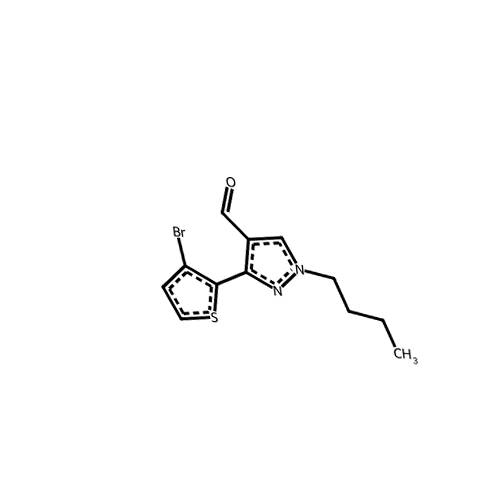 CCCCn1cc(C=O)c(-c2sccc2Br)n1